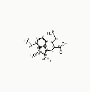 CSc1cccc2c(CC(CCN)C(=O)O)c(C)n(C)c12